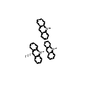 C[n+]1c2ccccc2cc2ccccc21.C[n+]1c2ccccc2cc2ccccc21.C[n+]1c2ccccc2cc2ccccc21.[I-].[I-].[I-]